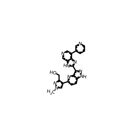 Cn1cc(-c2ccc3[nH]nc(-c4nc5c(-c6cccnc6)cncc5[nH]4)c3n2)c(CO)n1